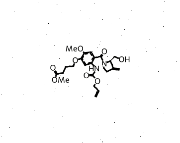 C=CCOC(=O)Nc1cc(OCCCC(=O)OC)c(OC)cc1C(=O)N1CCC(=C)[C@@H]1CO